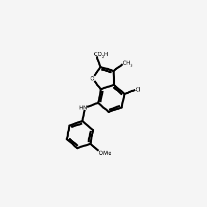 COc1cccc(Nc2ccc(Cl)c3c(C)c(C(=O)O)oc23)c1